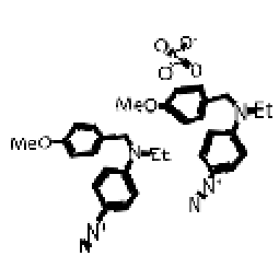 CCN(Cc1ccc(OC)cc1)c1ccc([N+]#N)cc1.CCN(Cc1ccc(OC)cc1)c1ccc([N+]#N)cc1.O=S(=O)([O-])[O-]